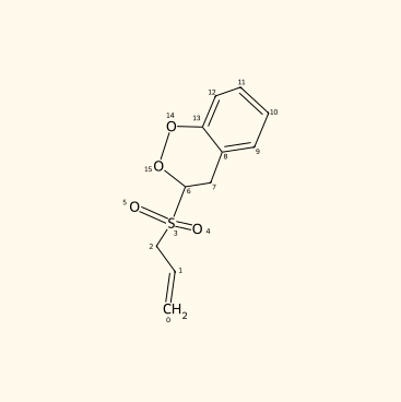 C=CCS(=O)(=O)C1Cc2ccccc2OO1